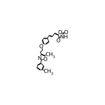 Cc1cccc(-c2nc(CCOc3ccc(C=CC=C4OC(=O)NC4=O)cc3)c(C)o2)c1